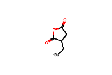 CCCC[CH]C1CC(=O)OC1=O